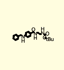 CC(C)(C)OC(=O)NCCNC(=O)c1ccc(NCc2ccccc2)cc1